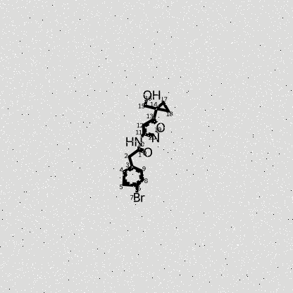 O=C(Cc1ccc(Br)cc1)Nc1cc(C2(CO)CC2)on1